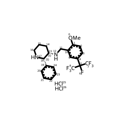 COc1ccc(C(F)(C(F)(F)F)C(F)(F)F)cc1CN[C@H]1CCCN[C@H]1c1ccccc1.Cl.Cl